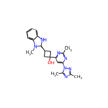 Cc1nc(-n2nc(C)nc2C)cc(C2(O)CC(C3Nc4ccccc4N3C)C2)n1